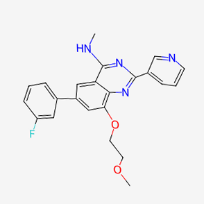 CNc1nc(-c2cccnc2)nc2c(OCCOC)cc(-c3cccc(F)c3)cc12